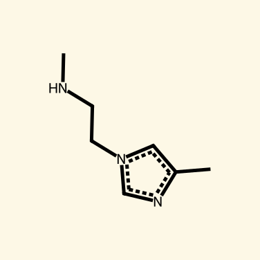 CNCCn1cnc(C)c1